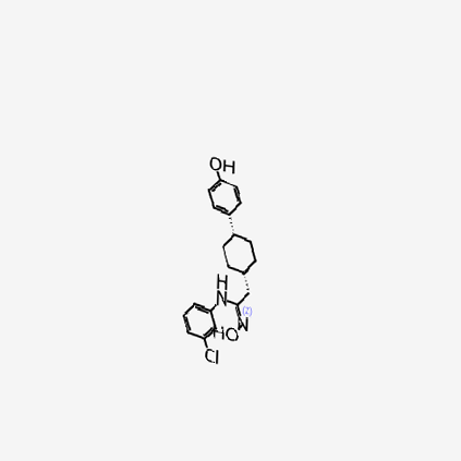 O/N=C(/C[C@H]1CC[C@@H](c2ccc(O)cc2)CC1)Nc1cccc(Cl)c1